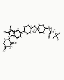 Cn1c(=O)n(C2CCC(=O)NC2=O)c2ccc(C3CCN(CC4(O)CCC(NC(=O)OC(C)(C)C)CC4)CC3)cc21